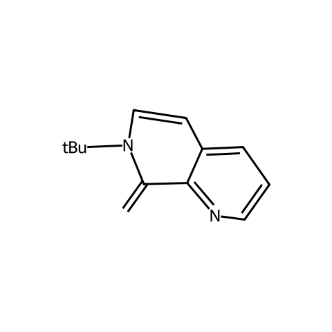 C=C1c2ncccc2C=CN1C(C)(C)C